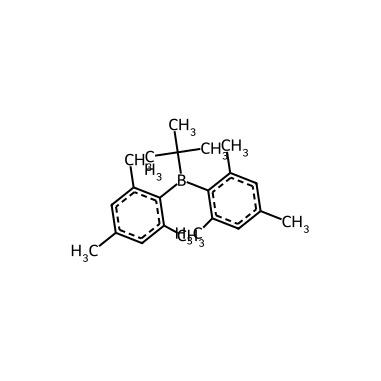 Cc1cc(C)c(B(c2c(C)cc(C)cc2C)C(C)(C)C)c(C)c1